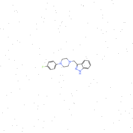 Fc1ccc(N2CCN(Cc3n[nH]c4ccccc34)CC2)cc1